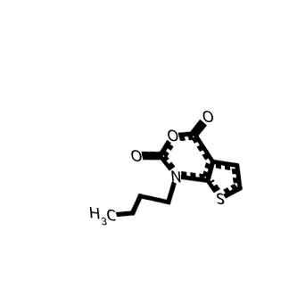 CCCCn1c(=O)oc(=O)c2ccsc21